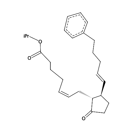 CC(C)OC(=O)CCC/C=C\C[C@H]1C(=O)CC[C@@H]1/C=C/CCCc1ccccc1